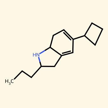 CCCC1CC2=CC(C3CCC3)=CCC2N1